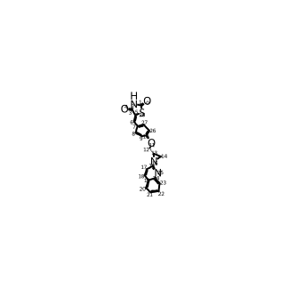 O=C1NC(=O)C(=Cc2ccc(OC[C@@H]3CN3c3ccc4ccccc4n3)cc2)S1